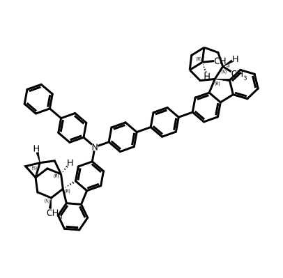 C[C@@H]1C2CC1C[C@]1(c3ccccc3-c3ccc(-c4ccc(-c5ccc(N(c6ccc(-c7ccccc7)cc6)c6ccc7c(c6)[C@@]6(c8ccccc8-7)[C@@H]7C[C@H]8CC8(C7)C[C@@H]6C)cc5)cc4)cc31)[C@@H](C)C2